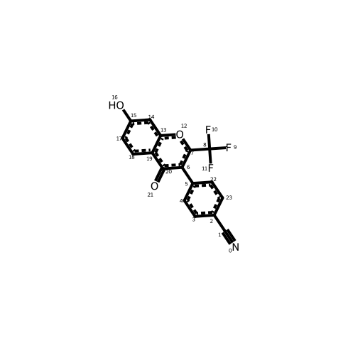 N#Cc1ccc(-c2c(C(F)(F)F)oc3cc(O)ccc3c2=O)cc1